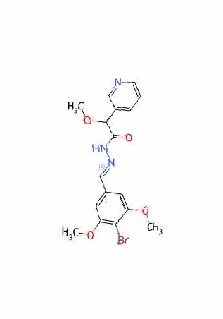 COc1cc(/C=N/NC(=O)C(OC)c2cccnc2)cc(OC)c1Br